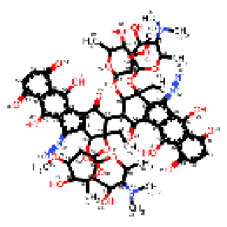 CCC1(OC2CC(O)C(N(C)C)C(C)O2)c2c(c3c(O)c4c(=O)ccc(=O)c4c(O)c3c2=[N+]=[N-])C(=O)C(C2C(=O)c3c(c(=[N+]=[N-])c4c(O)c5c(=O)ccc(=O)c5c(O)c34)C(OC3CC(O)C(N(C)C)C(C)O3)C2(CC)OC2CC(OC)C(O)C(C)O2)C1OC1CC(OC)C(O)C(C)O1